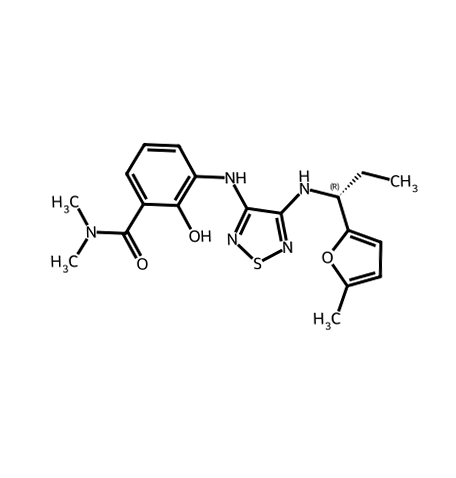 CC[C@@H](Nc1nsnc1Nc1cccc(C(=O)N(C)C)c1O)c1ccc(C)o1